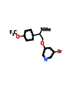 CNC(COc1cncc(Br)c1)c1ccc(OC(F)(F)F)cc1